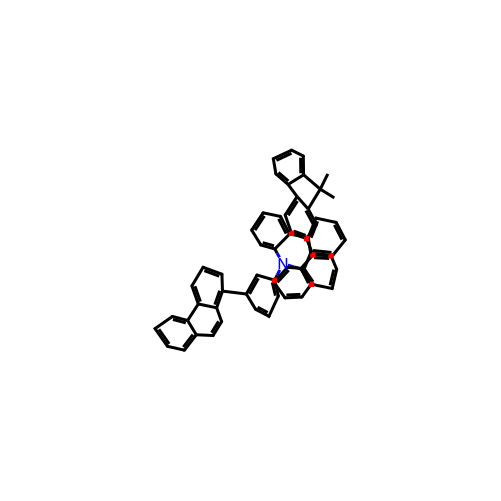 CC1(C)c2ccccc2-c2ccc(-c3ccccc3N(c3cccc(-c4cccc5c4ccc4ccccc45)c3)c3ccccc3-c3ccccc3-c3ccccc3)cc21